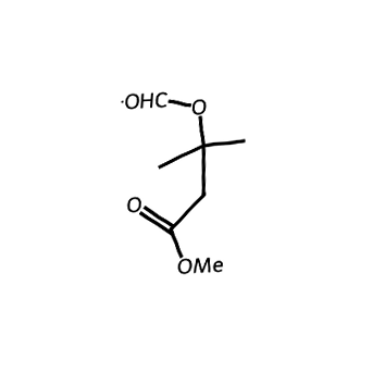 COC(=O)CC(C)(C)O[C]=O